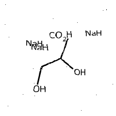 O=C(O)C(O)CO.[NaH].[NaH].[NaH]